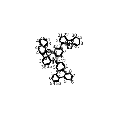 c1ccc(-c2ccccc2-c2ccc(N(c3ccc(-c4cccc5c4oc4ccccc45)cc3)c3cccc4c3oc3c5ccccc5ccc43)cc2)cc1